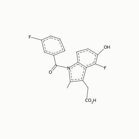 Cc1c(CC(=O)O)c2c(F)c(O)ccc2n1C(=O)c1cccc(F)c1